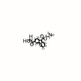 CN(C)CCOC(=O)c1c2ccc(C(=O)NO)cc2n2ccccc12